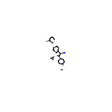 CC(C)Nc1ccc(-c2c(C#N)c3ccc(Oc4ncccc4Cl)cc3n2C2CC2)cc1